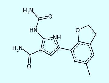 Cc1cc2c(c(-c3cc(C(N)=O)c(NC(N)=O)[nH]3)c1)OCC2